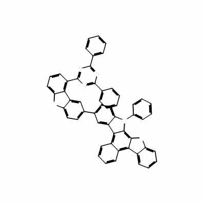 c1ccc(-c2nc(-c3ccccc3)nc(-c3cccc4oc5ccc(-c6ccc7c(c6)c6c8ccccc8c8c9ccccc9sc8c6n7-c6ccccc6)cc5c34)n2)cc1